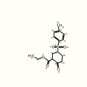 CCOC(=O)C1CN(S(=O)(=O)c2ccc(C)cc2)CCC1=O